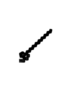 CCCCCCCCC=CCCCCCCCC(=O)N1CCCC1C(=O)O